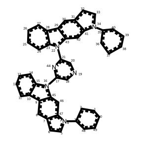 c1ccc(-n2ccc3cc4c5ccccc5n(-c5cncc(-n6c7ccccc7c7cc8ccn(-c9ccccc9)c8cc76)n5)c4cc32)cc1